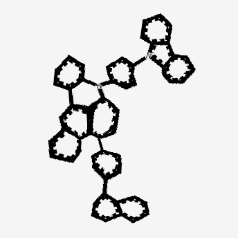 c1ccc(N(c2ccc(-c3ccc(-c4cccc5ccccc45)cc3)cc2)c2ccc(-n3c4ccccc4c4ccccc43)cc2)c(-c2ccc3ccccc3c2)c1